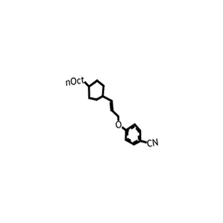 CCCCCCCCC1CCC(C=CCOc2ccc(C#N)cc2)CC1